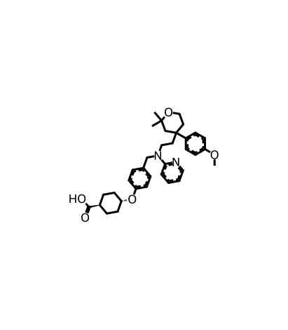 COc1ccc(C2(CCN(Cc3ccc(O[C@H]4CC[C@H](C(=O)O)CC4)cc3)c3ccccn3)CCOC(C)(C)C2)cc1